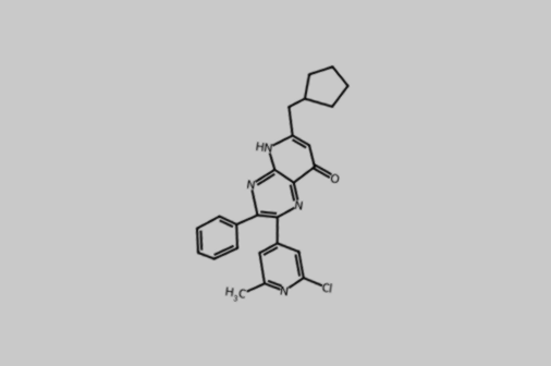 Cc1cc(-c2nc3c(=O)cc(CC4CCCC4)[nH]c3nc2-c2ccccc2)cc(Cl)n1